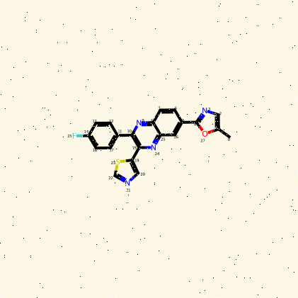 Cc1cnc(-c2ccc3nc(-c4ccc(F)cc4)c(-c4cncs4)nc3c2)o1